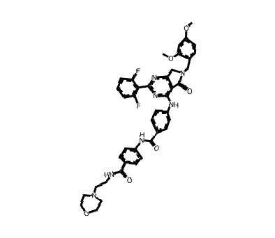 COc1ccc(CN2Cc3nc(-c4c(F)cccc4F)nc(Nc4ccc(C(=O)Nc5ccc(C(=O)NCCN6CCOCC6)cc5)cc4)c3C2=O)c(OC)c1